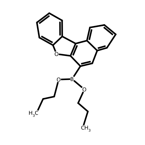 CCCOB(OCCC)c1cc2ccccc2c2c1oc1ccccc12